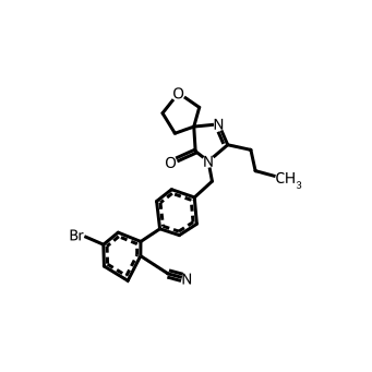 CCCC1=NC2(CCOC2)C(=O)N1Cc1ccc(-c2cc(Br)ccc2C#N)cc1